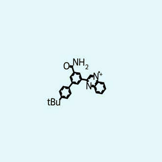 C[n+]1cc(-c2cc(C(N)=O)cc(-c3ccc(C(C)(C)C)cc3)c2)nc2ccccc21